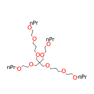 CCCOCCOCCCOCC(COCCCOCCOCCC)(COCCOCCC)COCCOCCC